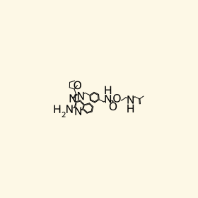 C=C(C)CNCCOC(=O)NCc1ccc(Cn2c(C3CCCO3)nc3c(N)nc4ccccc4c32)cc1